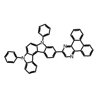 c1ccc(-n2c3ccccc3c3c4c5ccc(-c6cnc7c8ccccc8c8ccccc8c7n6)cc5n(-c5ccccc5)c4ccc32)cc1